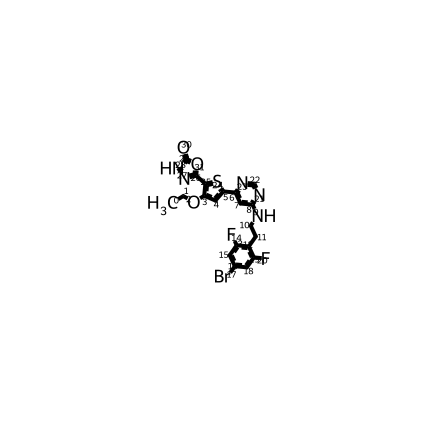 CCOc1cc(-c2cc(NCCc3c(F)cc(Br)cc3F)ncn2)sc1-c1n[nH]c(=O)o1